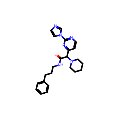 O=C(NCCCc1ccccc1)C(c1ccnc(-n2ccnc2)n1)N1CCCCC1